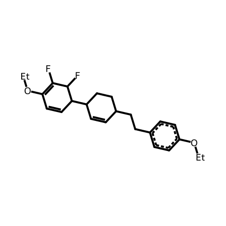 CCOC1=C(F)C(F)C(C2C=CC(CCc3ccc(OCC)cc3)CC2)C=C1